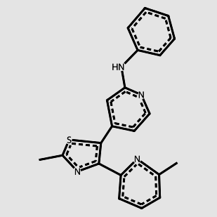 Cc1cccc(-c2nc(C)sc2-c2ccnc(Nc3ccccc3)c2)n1